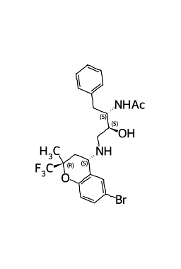 CC(=O)N[C@@H](Cc1ccccc1)[C@@H](O)CN[C@H]1C[C@](C)(C(F)(F)F)Oc2ccc(Br)cc21